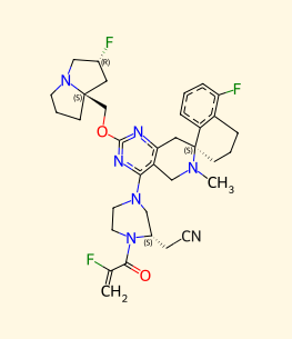 C=C(F)C(=O)N1CCN(c2nc(OC[C@@]34CCCN3C[C@H](F)C4)nc3c2CN(C)[C@@]2(CCCc4c(F)cccc42)C3)C[C@@H]1CC#N